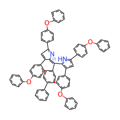 C1=C(c2ccc(Oc3ccccc3)cc2)/C(=C(\c2ccc(-c3ccccc3)cc2)c2[nH]c(-c3ccc(Oc4ccccc4)cc3)cc2-c2ccc(Oc3ccccc3)cc2)N=C1c1ccc(Oc2ccccc2)cc1